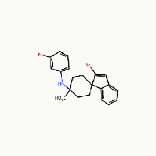 O=C(O)C1(Nc2cccc(Br)c2)CCC2(CC1)C(Br)=Cc1ccccc12